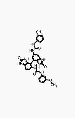 COc1cccc(NC(=O)Nc2ccc3[nH]c(=O)[nH]c3c2-c2cc(NC(=O)Nc3cccc(C)c3)cc3[nH]c(=O)[nH]c23)c1